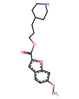 COc1ccc2cc(C(=O)OCCCC3CCNCC3)oc2c1